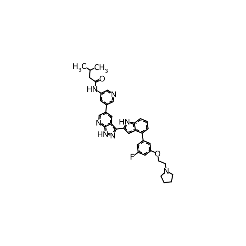 CC(C)CC(=O)Nc1cncc(-c2cnc3[nH]nc(-c4cc5c(-c6cc(F)cc(OCCN7CCCC7)c6)cccc5[nH]4)c3c2)c1